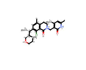 COc1cc(C)[nH]c(=O)c1CN1CCc2c(C)cc([C@@H](OC)[C@@H]3COCC[SiH2]3)c(Cl)c2C1=O